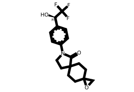 O=C1N(c2ccc([C@@H](O)C(F)(F)F)cc2)CCC12CCC1(CC2)CO1